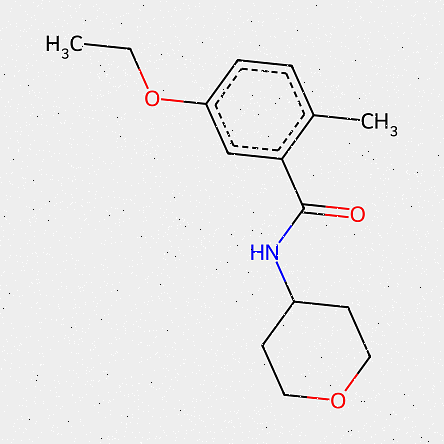 CCOc1ccc(C)c(C(=O)NC2CCOCC2)c1